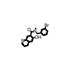 CN(Cc1cccc(Br)c1)C(=O)c1cc2ncccc2cc1O